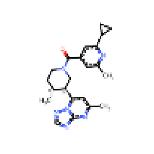 Cc1cc(C(=O)N2CC[C@@H](C)[C@H](c3cc(C)nc4ncnn34)C2)cc(C2CC2)n1